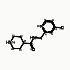 O=C(NCc1cc(Cl)ccn1)C1CCNCC1